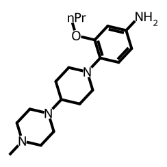 CCCOc1cc(N)ccc1N1CCC(N2CCN(C)CC2)CC1